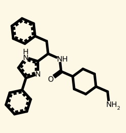 NCC1CCC(C(=O)NC(Cc2ccccc2)c2nc(-c3ccccc3)c[nH]2)CC1